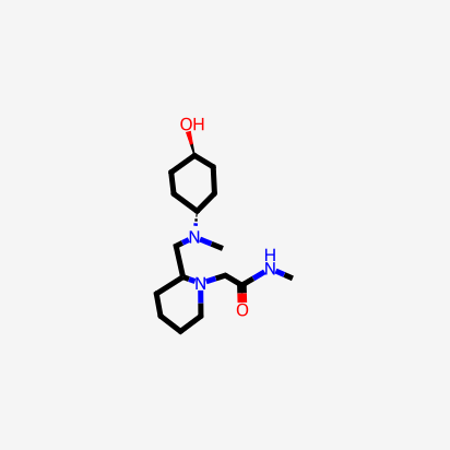 CNC(=O)CN1CCCCC1CN(C)[C@H]1CC[C@H](O)CC1